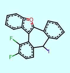 Fc1ccc2c(c1F)-c1c(oc3ccccc13)-c1ccccc1C2I